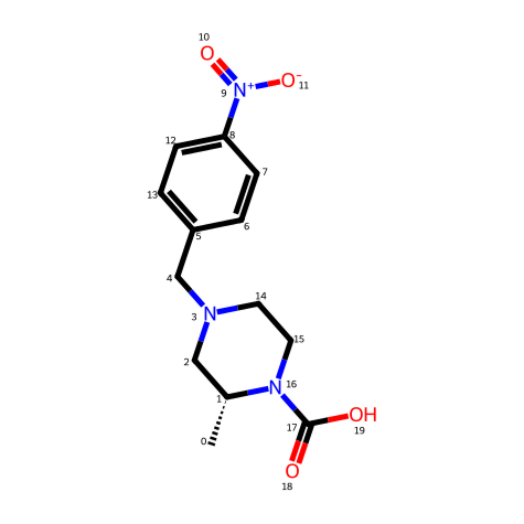 C[C@@H]1CN(Cc2ccc([N+](=O)[O-])cc2)CCN1C(=O)O